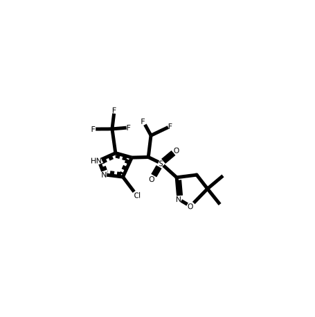 CC1(C)CC(S(=O)(=O)C(c2c(Cl)n[nH]c2C(F)(F)F)C(F)F)=NO1